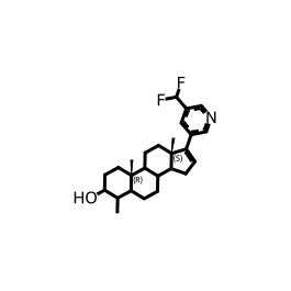 CC1C(O)CC[C@@]2(C)C1CCC1C2CC[C@]2(C)C(c3cncc(C(F)F)c3)=CCC12